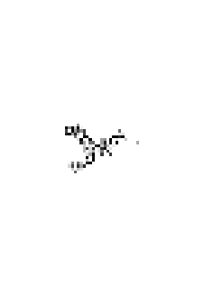 CN(c1cccc(CC(NC(=O)C2CCC(CN)CC2)c2nc(-c3ccc(C(N)=O)cc3)c(Cl)[nH]2)c1)S(=O)(=O)c1ccccc1